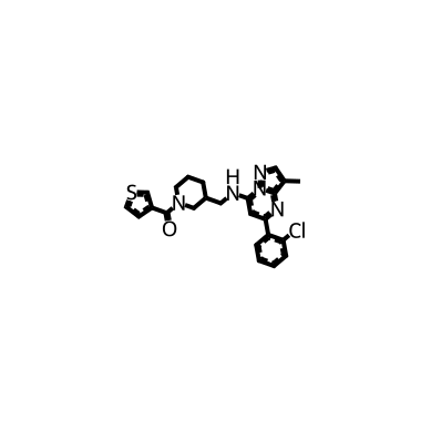 Cc1cnn2c(NCC3CCCN(C(=O)c4ccsc4)C3)cc(-c3ccccc3Cl)nc12